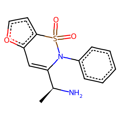 C[C@H](N)C1=Cc2occc2S(=O)(=O)N1c1ccccc1